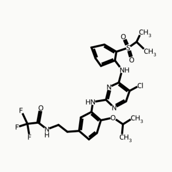 CC(C)Oc1ccc(CCNC(=O)C(F)(F)F)cc1Nc1ncc(Cl)c(Nc2ccccc2S(=O)(=O)C(C)C)n1